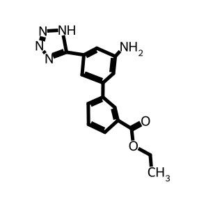 CCOC(=O)c1cccc(-c2cc(N)cc(-c3nnn[nH]3)c2)c1